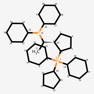 CC([C@@H]1CCCC1[PH](C1CCCCC1)(C1CCCCC1)C1CCCC1)P(C1CCCCC1)C1CCCCC1